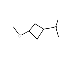 COC1CC(N(C)C)C1